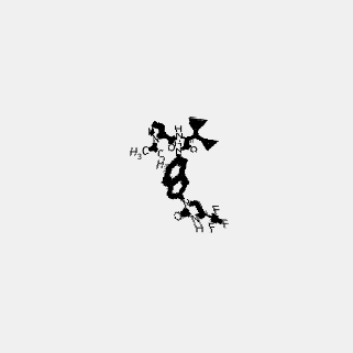 CC(C)n1nccc1C(=O)N[C@H](C(=O)Nc1ccc2c(c1)CC(N1C[C@@H](C(F)(F)F)NC1=O)C2)C(C1CC1)C1CC1